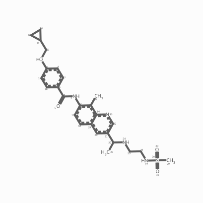 Cc1c(NC(=O)c2ccc(OCC3CC3)cc2)ccc2cc(C(C)NCCNS(C)(=O)=O)cnc12